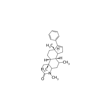 CC1CC2N(C)C(=O)CC[C@]2(C)[C@@H]2CC[C@]3(C)C(c4ccccc4)=CC[C@H]3[C@H]12